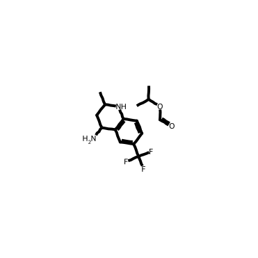 CC(C)OC=O.CC1CC(N)c2cc(C(F)(F)F)ccc2N1